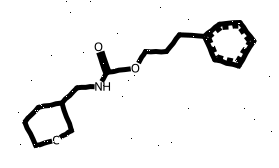 O=C(NCC1CCCCC1)OCCCc1ccccc1